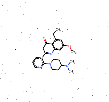 CCc1cc(OC)cc2c1C(=O)CC(c1cccnc1N1CCC(N(C)C)CC1)=N2